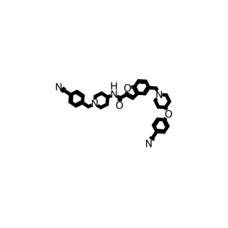 N#Cc1ccc(CN2CCC(NC(=O)c3cc4cc(CN5CCC(Oc6ccc(C#N)cc6)CC5)ccc4o3)CC2)cc1